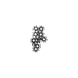 c1ccc2c(c1)-c1ccccc1C21c2ccccc2-c2cc3c4ccccc4n(-c4nc5c6c(cccc6n4)Oc4c-5ccc5ccccc45)c3cc21